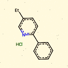 CCc1ccc(-c2ccccc2)nc1.Cl